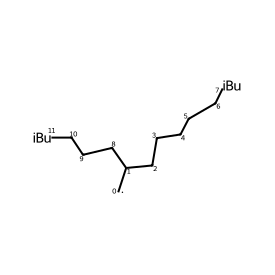 [CH2]C(CCCCCC(C)CC)CCCC(C)CC